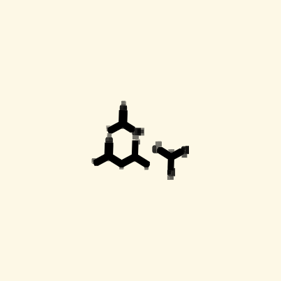 CC(=O)CC(C)C.CC(=O)O.ClC(Cl)Cl